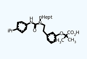 CCCCCCCN(CCc1cccc(OC(C)(C)C(=O)O)c1)C(=O)Nc1ccc(C(C)C)cc1